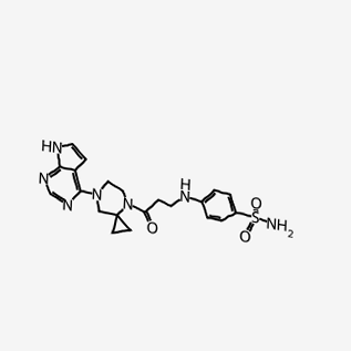 NS(=O)(=O)c1ccc(NCCC(=O)N2CCN(c3ncnc4[nH]ccc34)CC23CC3)cc1